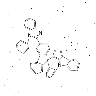 c1ccc(-n2c(-c3ccc4c(c3)-c3ccccc3C43c4ccccc4-n4c5ccccc5c5cccc3c54)nc3ccccc32)cc1